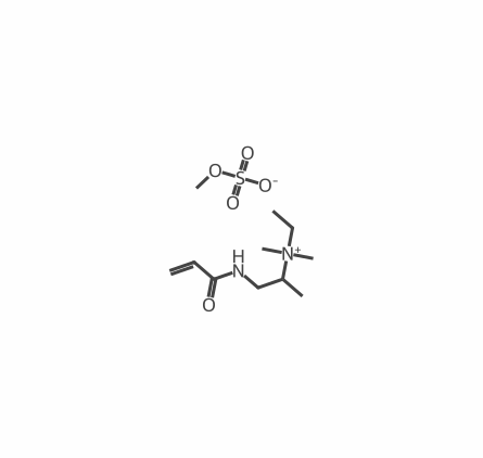 C=CC(=O)NCC(C)[N+](C)(C)CC.COS(=O)(=O)[O-]